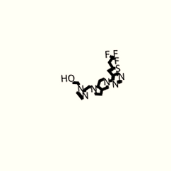 OCCn1ccnc1CN1CCC2CN(c3ncnc4sc(CC(F)(F)F)cc34)CCC21